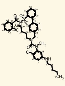 CCCCCNc1ccc(Cl)c(N(C)C(=O)N(CCCCC)Cc2ccc(-c3ccccc3S(=O)(=O)NC(=O)c3ccccc3Cl)cc2)c1